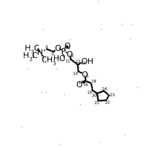 C[N+](C)(C)CCOP(=O)(O)OCC(O)COC(=O)CCC1CCCC1